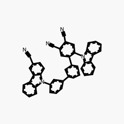 N#Cc1ccc2c(c1)c1ccccc1n2-c1cccc(-c2cccc(-c3cc(C#N)c(C#N)cc3-n3c4ccccc4c4ccccc43)c2)c1